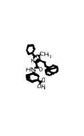 Cn1c(C2CCCCC2)nc(C(=O)Nc2cccc(C(=O)O)c2)c1CCC12CC3CC(CC(C3)C1)C2